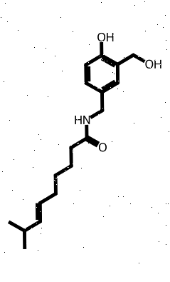 CC(C)/C=C/CCCCC(=O)NCc1ccc(O)c(CO)c1